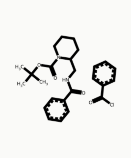 CC(C)(C)OC(=O)N1CCCCC1CNC(=O)c1ccccc1.O=C(Cl)c1ccccc1